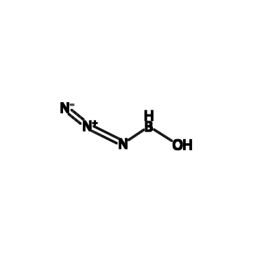 [N-]=[N+]=NBO